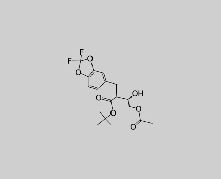 CC(=O)OC[C@H](O)[C@H](Cc1ccc2c(c1)OC(F)(F)O2)C(=O)OC(C)(C)C